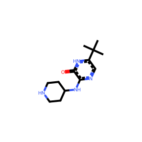 CC(C)(C)c1cnc(NC2CCNCC2)c(=O)[nH]1